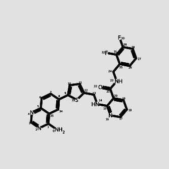 Nc1ncnc2ccc(-c3ccc(CNc4ncccc4C(=O)NCc4cccc(F)c4F)s3)cc12